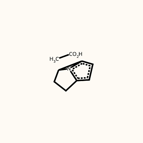 CC(=O)O.c1cc2n3c1CCC23